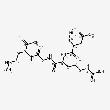 CNSC[C@H](NC(=O)CNC(=O)[C@H](CCCNC(=N)N)NC(=O)C(CC(=O)O)NN)C(=O)O